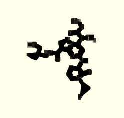 CN(C(=O)OC(C)(C)C)c1cc(Nc2cccn([C@H]3C[C@@H]3F)c2=O)nc2c(C(=O)NCC3(CO)CC3)cnn12